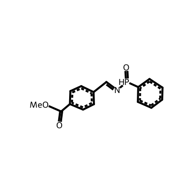 COC(=O)c1ccc(C=N[PH](=O)c2ccccc2)cc1